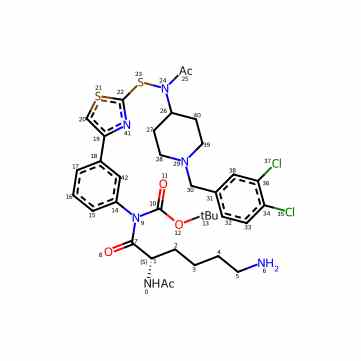 CC(=O)N[C@@H](CCCCN)C(=O)N(C(=O)OC(C)(C)C)c1cccc(-c2csc(SN(C(C)=O)C3CCN(Cc4ccc(Cl)c(Cl)c4)CC3)n2)c1